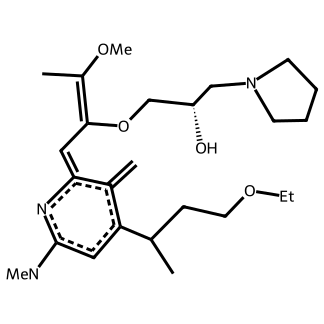 C=c1c(C(C)CCOCC)cc(NC)n/c1=C/C(OC[C@@H](O)CN1CCCC1)=C(\C)OC